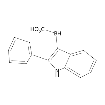 O=C(O)Bc1c(-c2ccccc2)[nH]c2ccccc12